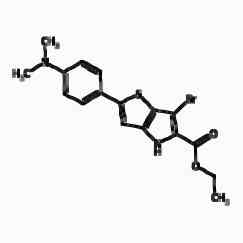 CCOC(=O)c1[nH]c2cc(-c3ccc(N(C)C)cc3)sc2c1Br